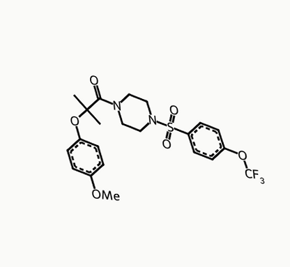 COc1ccc(OC(C)(C)C(=O)N2CCN(S(=O)(=O)c3ccc(OC(F)(F)F)cc3)CC2)cc1